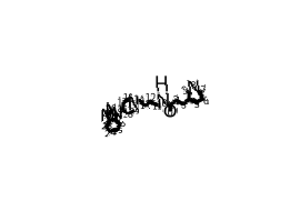 O=C(C=Cc1cccnc1)NCCCCN1CCC(n2nnc3ccccc32)CC1